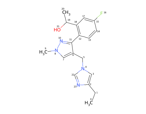 CCc1cn(Cc2cn(C)nc2-c2ccc(F)cc2C(C)O)cn1